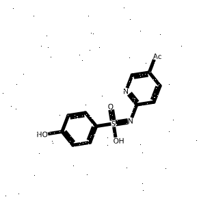 CC(=O)c1ccc(N=S(=O)(O)c2ccc(O)cc2)nc1